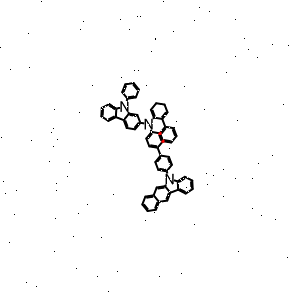 C1=C(c2ccccc2)C(N(c2ccc(-c3ccc(-n4c5ccccc5c5cc6ccccc6cc54)cc3)cc2)c2ccc3c4ccccc4n(-c4ccccc4)c3c2)=CCC1